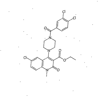 CCOC(=O)c1c(N2CCN(C(=O)c3ccc(Cl)c(Cl)c3)CC2)c2cc(Cl)ccc2n(C)c1=O